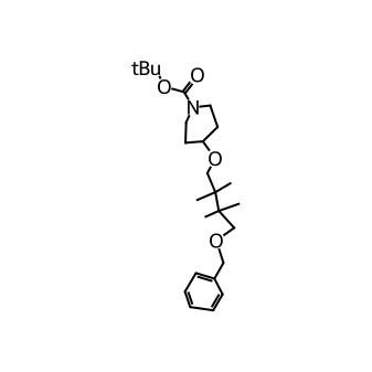 CC(C)(C)OC(=O)N1CCC(OCC(C)(C)C(C)(C)COCc2ccccc2)CC1